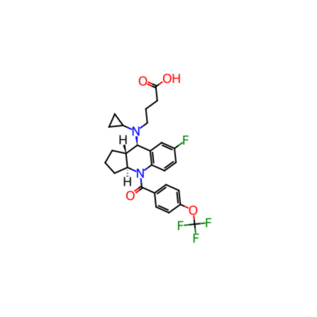 O=C(O)CCCN(C1CC1)[C@H]1c2cc(F)ccc2N(C(=O)c2ccc(OC(F)(F)F)cc2)[C@H]2CCC[C@@H]21